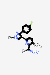 CC(C)C(N)c1nc(-c2cn(C(C)C)nc2-c2ccc(F)cc2)ccc1[N+](=O)[O-]